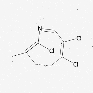 C\C1=C(Cl)/N=C\C(Cl)=C(\Cl)CC1